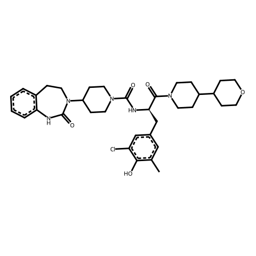 Cc1cc(C[C@@H](NC(=O)N2CCC(N3CCc4ccccc4NC3=O)CC2)C(=O)N2CCC(C3CCOCC3)CC2)cc(Cl)c1O